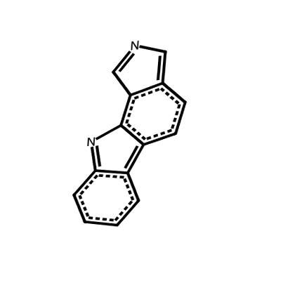 C1=NC=c2ccc3c(c21)N=c1ccccc1=3